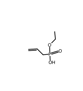 C=CCP(=O)(O)OCC